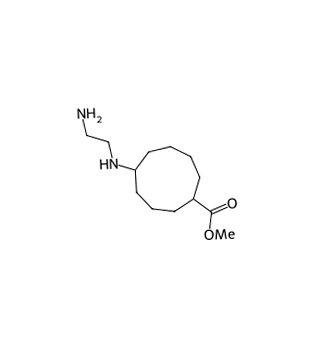 COC(=O)C1CCCCC(NCCN)CCC1